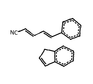 C1=Cc2ccccc2C1.N#CC=CC=Cc1ccccc1